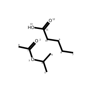 CC(=O)OC(C)C.CCCCC(=O)O